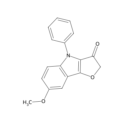 COc1ccc2c(c1)c1c(n2-c2ccccc2)C(=O)CO1